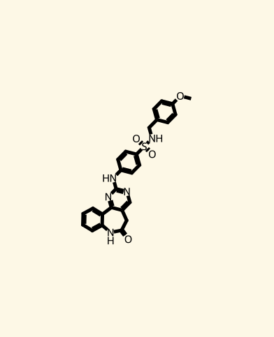 COc1ccc(CNS(=O)(=O)c2ccc(Nc3ncc4c(n3)-c3ccccc3NC(=O)C4)cc2)cc1